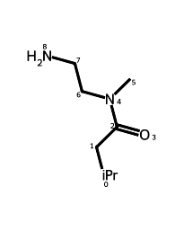 CC(C)CC(=O)N(C)CCN